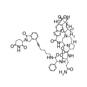 CC(C)C(=O)N1CC[C@H]2CC[C@@H](C(=O)NC(CCC(N)=O)C(=O)NC(C(=O)NCCCCC#Cc3cccc4c3CN(C3CCC(=O)NC3=O)C4=O)c3ccccc3)N2C(=O)[C@@H](NC(=O)c2cc3cc(C(F)(F)P(=O)(O)O)ccc3s2)C1